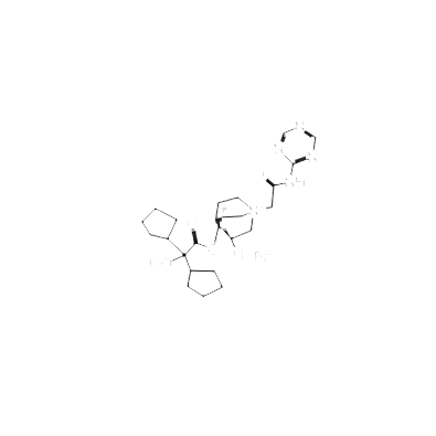 O=C(C[N+]12CCC(CC1)[C@@H](OC(=O)C(O)(C1CCCC1)C1CCCC1)C2)Nc1ncncn1.[Br-]